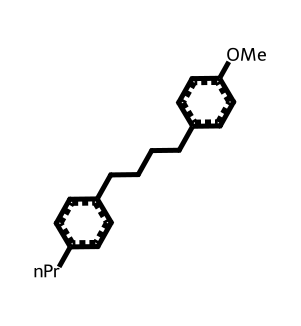 CCCc1ccc(CCCCc2ccc(OC)cc2)cc1